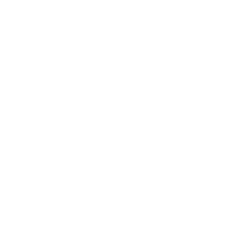 O=S(=O)(Cl)CCC1CC1